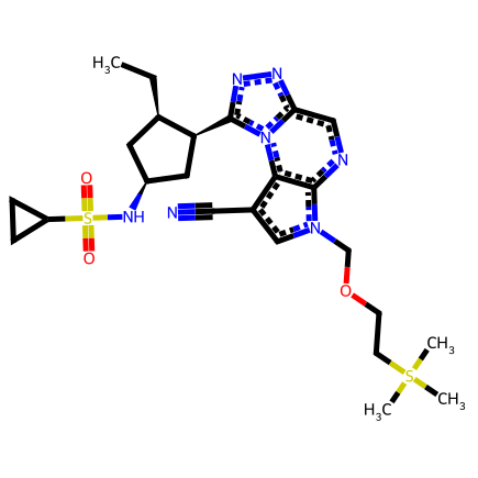 CC[C@@H]1C[C@H](NS(=O)(=O)C2CC2)C[C@@H]1c1nnc2cnc3c(c(C#N)cn3COCCS(C)(C)C)n12